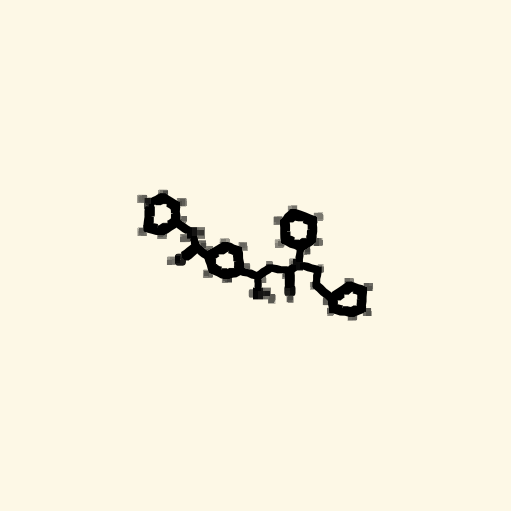 NC(CC(=O)N(CCc1ccccc1)c1ccccc1)c1ccc(C(=O)Nc2ccncc2)cc1